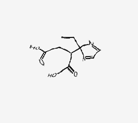 CCC1(C(CC(=O)O)C(=O)O)N=CC=N1